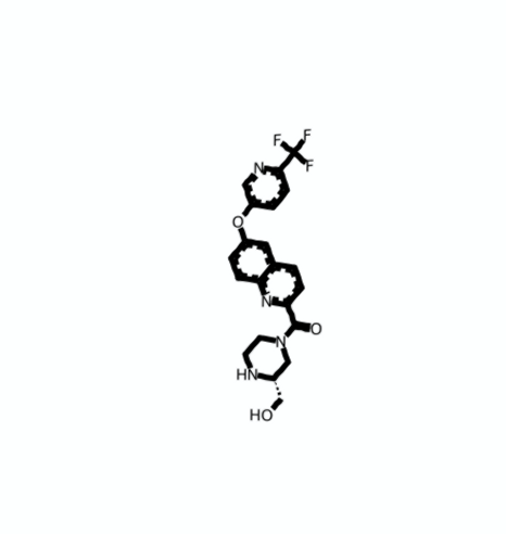 O=C(c1ccc2cc(Oc3ccc(C(F)(F)F)nc3)ccc2n1)N1CCN[C@@H](CO)C1